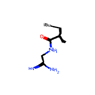 CCC(C)CC(C)C(=O)NCC(=N)N